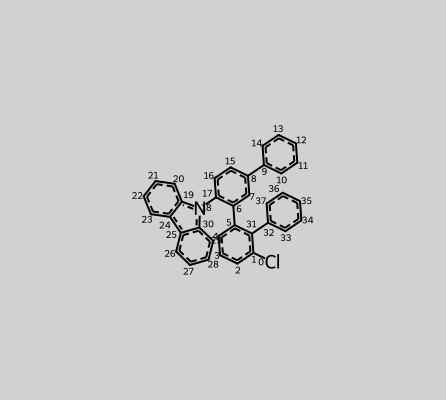 Clc1cccc(-c2cc(-c3ccccc3)ccc2-n2c3ccccc3c3ccccc32)c1-c1ccccc1